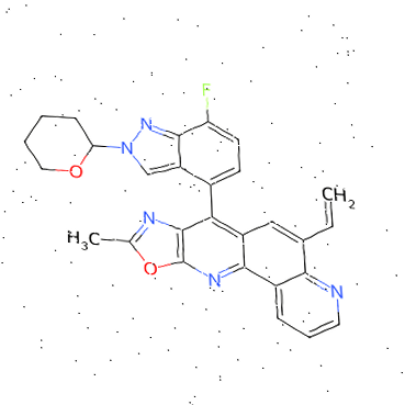 C=Cc1cc2c(-c3ccc(F)c4nn(C5CCCCO5)cc34)c3nc(C)oc3nc2c2cccnc12